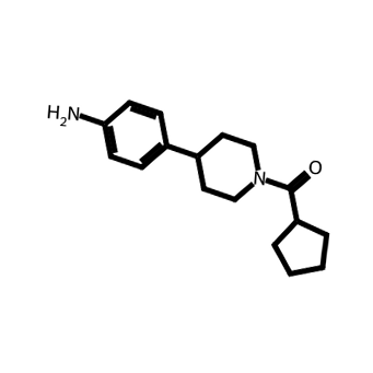 Nc1ccc(C2CCN(C(=O)C3CCCC3)CC2)cc1